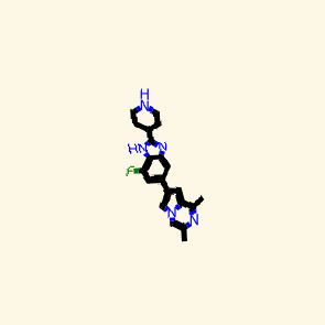 Cc1cn2cc(-c3cc(F)c4[nH]c(C5CCNCC5)nc4c3)cc2c(C)n1